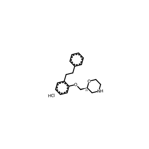 Cl.c1ccc(CCc2ccccc2OC[C@@H]2CNCCO2)cc1